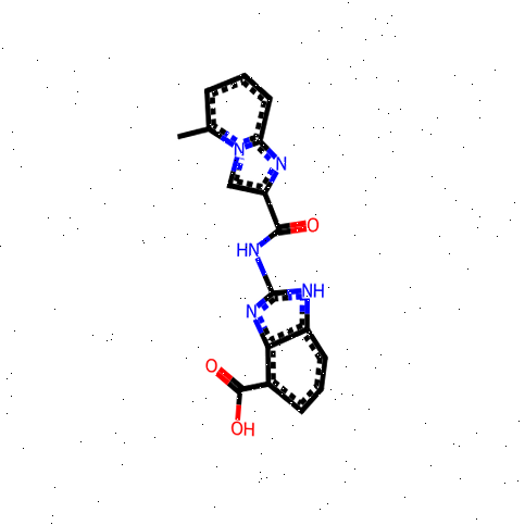 Cc1cccc2nc(C(=O)Nc3nc4c(C(=O)O)cccc4[nH]3)cn12